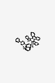 c1ccc(-c2ccc(-c3cc(-n4c5ccccc5c5c6c7ccccc7c7ccccc7c6c6c7ccccc7sc6c54)nc4cccnc34)cc2)cc1